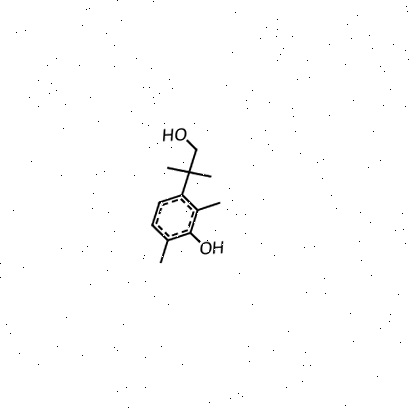 Cc1ccc(C(C)(C)CO)c(C)c1O